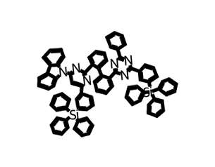 c1ccc(-c2nc(-c3cccc([Si](c4ccccc4)(c4ccccc4)c4ccccc4)c3)nc(-c3ccccc3-c3ccccc3-c3nc(-c4cccc([Si](c5ccccc5)(c5ccccc5)c5ccccc5)c4)cc(-n4c5ccccc5c5ccccc54)n3)n2)cc1